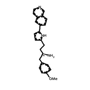 COc1ccc(C[C@H](N)CCc2ccc(-c3ccc4cnccc4c3)[nH]2)cc1